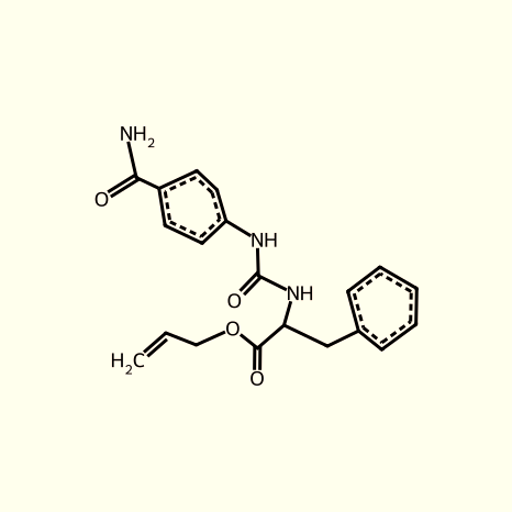 C=CCOC(=O)C(Cc1ccccc1)NC(=O)Nc1ccc(C(N)=O)cc1